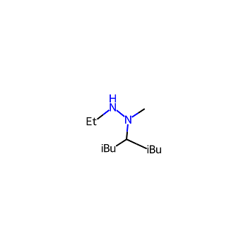 CCNN(C)C(C(C)CC)C(C)CC